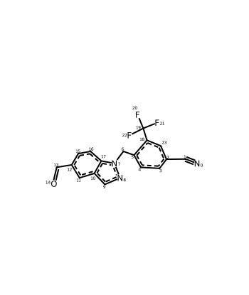 N#Cc1ccc(Cn2ncc3cc(C=O)ccc32)c(C(F)(F)F)c1